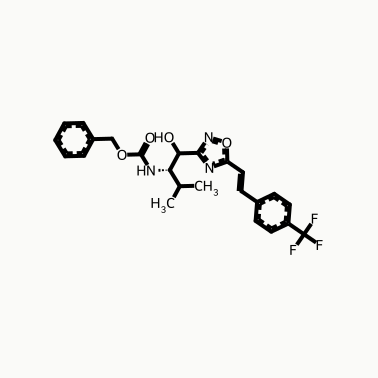 CC(C)[C@H](NC(=O)OCc1ccccc1)C(O)c1noc(C=Cc2ccc(C(F)(F)F)cc2)n1